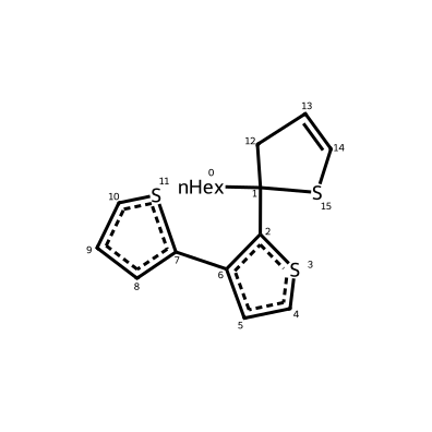 CCCCCCC1(c2sccc2-c2cccs2)CC=CS1